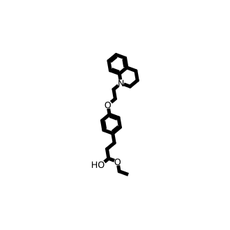 CCOC(O)CCc1ccc(OCCN2CCCc3ccccc32)cc1